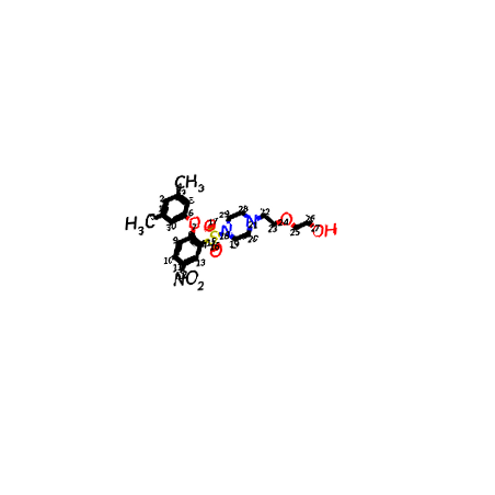 Cc1cc(C)cc(Oc2ccc([N+](=O)[O-])cc2S(=O)(=O)N2CCN(CCOCCO)CC2)c1